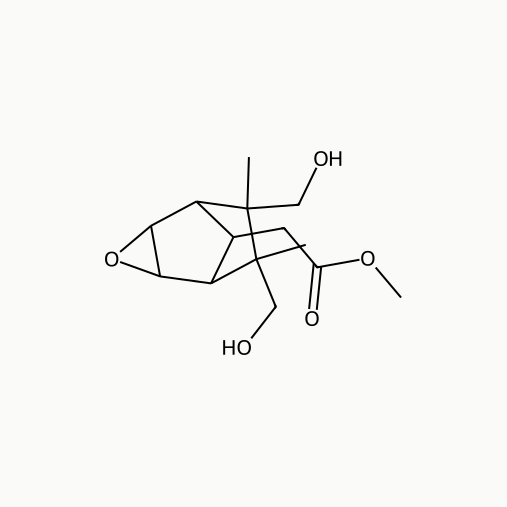 COC(=O)CC1C2C3OC3C1C(C)(CO)C2(C)CO